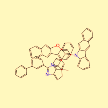 CC1C/C=C(c2ccc(-c3ccccc3)cc2)/N=C(c2cccc(-c3ccccc3)c2)\N=C/1c1cc(-n2c3ccccc3c3cc4ccccc4cc32)cc2oc3cc4ccccc4cc3c12